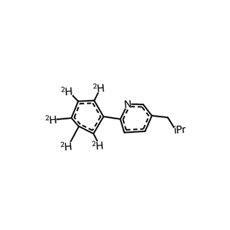 [2H]c1c([2H])c([2H])c(-c2ccc(CC(C)C)cn2)c([2H])c1[2H]